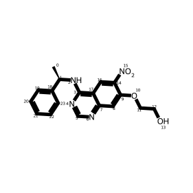 C[C@@H](Nc1ncnc2cc(OCCO)c([N+](=O)[O-])cc12)c1ccccc1